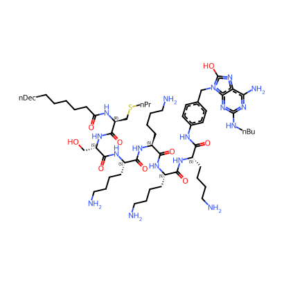 [CH2][CH]CSC[C@H](NC(=O)CCCCCCCCCCCCCCC)C(=O)N[C@@H](CO)C(=O)N[C@@H](CCCCN)C(=O)N[C@@H](CCCCN)C(=O)N[C@@H](CCCCN)C(=O)N[C@@H](CCCCN)C(=O)Nc1ccc(Cn2c(O)nc3c(N)nc(NCCCC)nc32)cc1